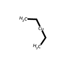 C[CH2][Cu][CH2]C